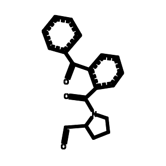 O=CC1CCCN1C(=O)c1ccccc1C(=O)c1ccccc1